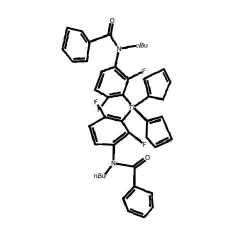 CCCCN(C(=O)c1ccccc1)c1ccc(F)[c]([Ti]([C]2=CC=CC2)([C]2=CC=CC2)[c]2c(F)ccc(N(CCCC)C(=O)c3ccccc3)c2F)c1F